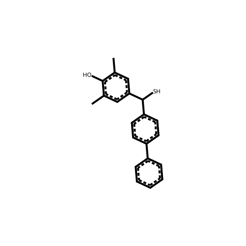 Cc1cc(C(S)c2ccc(-c3ccccc3)cc2)cc(C)c1O